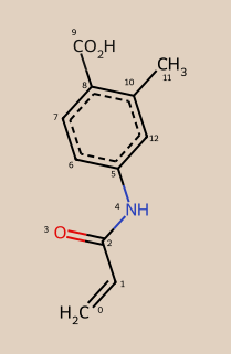 C=CC(=O)Nc1ccc(C(=O)O)c(C)c1